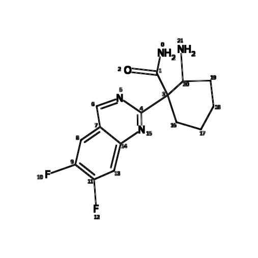 NC(=O)C1(c2ncc3cc(F)c(F)cc3n2)CCCCC1N